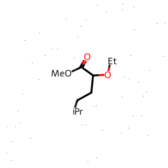 CCOC(CCC(C)C)C(=O)OC